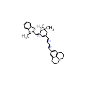 C[n+]1c(/C=C2C=C(/C=C/C=C/c3cc4c5c(c3)CCCN5CCC4)CC(C)(C)C/2)sc2ccccc21